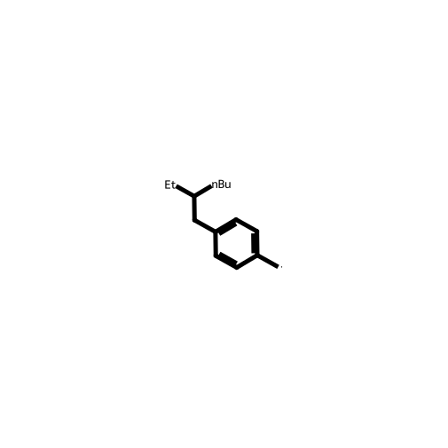 [CH2]c1ccc(CC(CC)CCCC)cc1